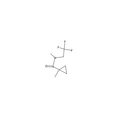 CN(CC(F)(F)F)C(=O)C1(C)CC1